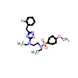 CCN(CCN(CC)S(=O)(=O)c1ccc(OC)cc1)c1nc(Cc2ccccc2F)ns1